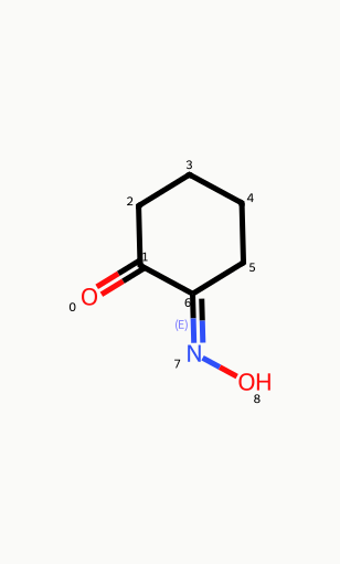 O=C1CCCC/C1=N\O